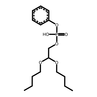 CCCCOC(COP(=O)(O)Oc1ccccc1)OCCCC